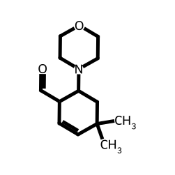 CC1(C)C=CC(C=O)C(N2CCOCC2)C1